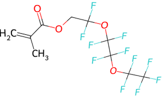 C=C(C)C(=O)OCC(F)(F)OC(F)(F)C(F)(F)OC(F)(F)C(F)(F)F